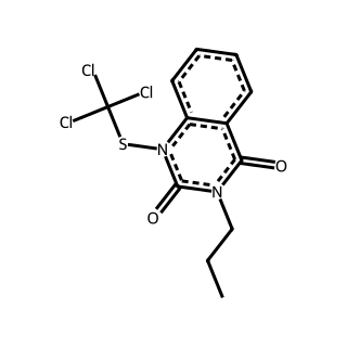 CCCn1c(=O)c2ccccc2n(SC(Cl)(Cl)Cl)c1=O